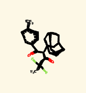 O=C(c1ccc(C(F)(F)F)cc1)C(C(=O)C(F)(F)C(F)(F)F)C12CC3CC(CC(C3)C1)C2